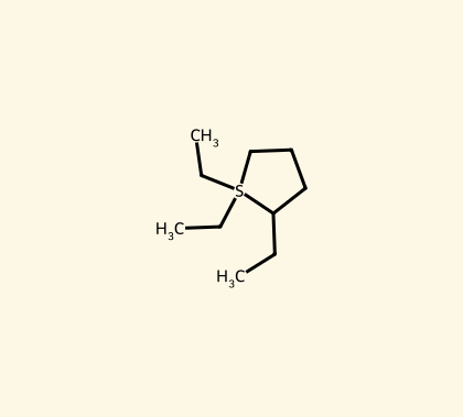 CCC1CCCS1(CC)CC